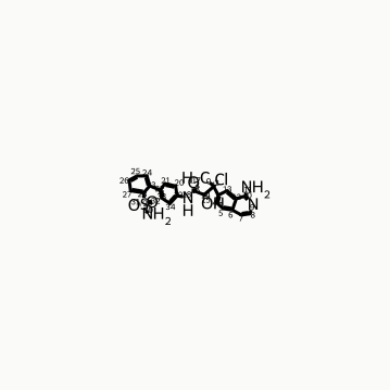 CC(Cl)(c1ccc2ccnc(N)c2c1)C(O)C(=O)Nc1ccc(-c2ccccc2S(N)(=O)=O)cc1